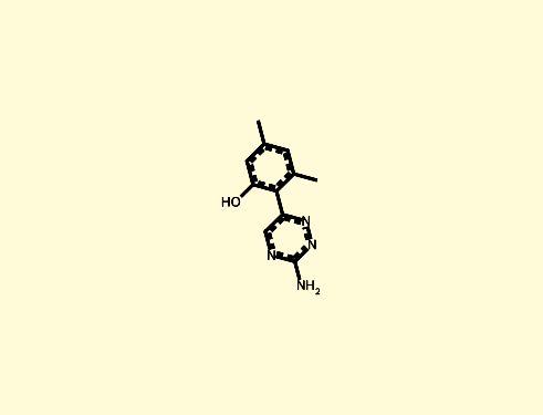 Cc1cc(C)c(-c2cnc(N)nn2)c(O)c1